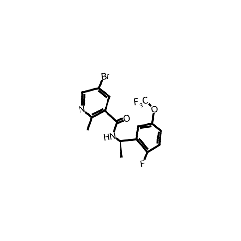 Cc1ncc(Br)cc1C(=O)N[C@H](C)c1cc(OC(F)(F)F)ccc1F